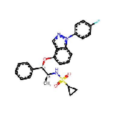 C[C@H](NS(=O)(=O)C1CC1)[C@H](Oc1cccc2c1cnn2-c1ccc(F)cc1)c1ccccc1